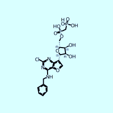 O=P(O)(O)CP(=O)(O)OC[C@H]1O[C@@H](c2coc3c(NCc4ccccc4)nc(Cl)nc23)[C@H](O)[C@@H]1O